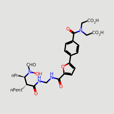 CCCCC[C@@H](C(=O)NCNC(=O)c1ccc(-c2ccc(C(=O)N(CC(=O)O)CC(=O)O)cc2)o1)[C@@H](CCC)N(O)C=O